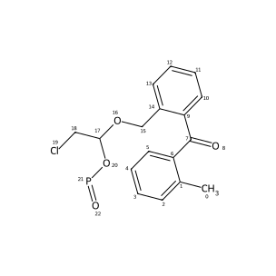 Cc1ccccc1C(=O)c1ccccc1COC(CCl)OP=O